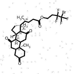 C[C@H](CCC(=O)OCCC(F)(F)C(F)(F)Br)[C@H]1CC[C@H]2[C@@H]3C(=O)CC4CC(=O)CC[C@]4(C)C3CC(=O)[C@]12C